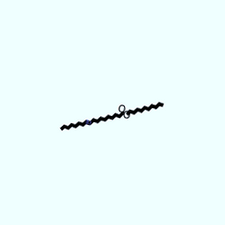 CCCCCCC/C=C/CCCCCCCCC(=O)OCCCCCCCCCC